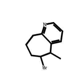 CC1c2cccnc2CCCC1Br